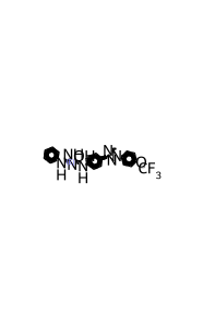 N/C(=N\C(O)Nc1ccc(-c2ncn(-c3ccc(OC(F)(F)F)cc3)n2)cc1)Nc1ccccc1